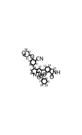 N#Cc1cc(-c2ccnc3c2cc(-c2ccc4c(c2)C(=O)NC4)n3S(=O)(=O)c2ccccc2)ccc1OC1CCOCC1